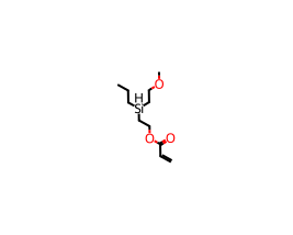 C=CC(=O)OCC[SiH](CCC)CCOC